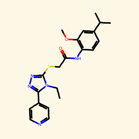 CCn1c(SCC(=O)Nc2ccc(C(C)C)cc2OC)nnc1-c1ccncc1